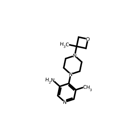 Cc1cncc(N)c1N1CCN(C2(C)COC2)CC1